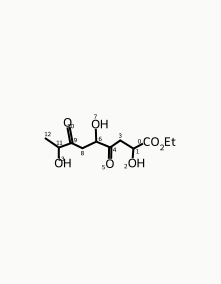 CCOC(=O)C(O)CC(=O)C(O)CC(=O)C(C)O